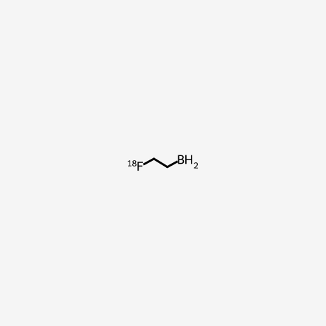 BCC[18F]